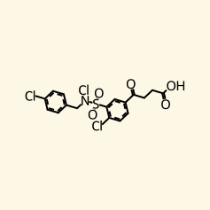 O=C(O)CCC(=O)c1ccc(Cl)c(S(=O)(=O)N(Cl)Cc2ccc(Cl)cc2)c1